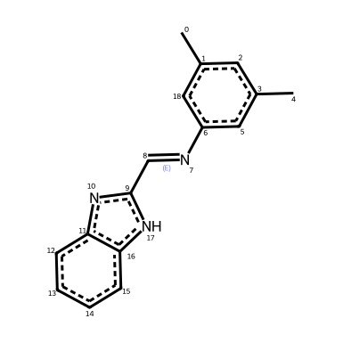 Cc1cc(C)cc(/N=C/c2nc3ccccc3[nH]2)c1